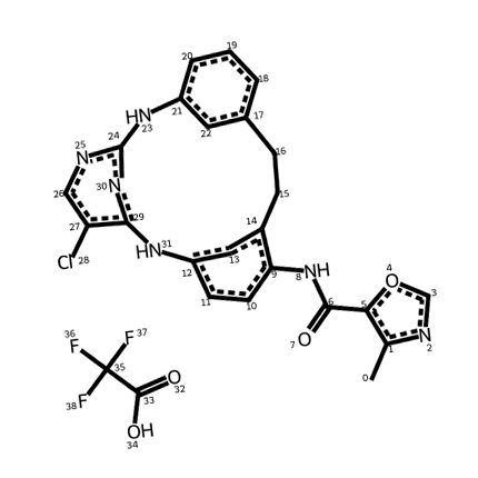 Cc1ncoc1C(=O)Nc1ccc2cc1CCc1cccc(c1)Nc1ncc(Cl)c(n1)N2.O=C(O)C(F)(F)F